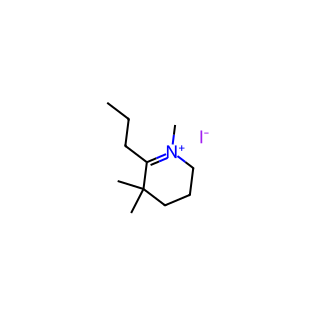 CCCC1=[N+](C)CCCC1(C)C.[I-]